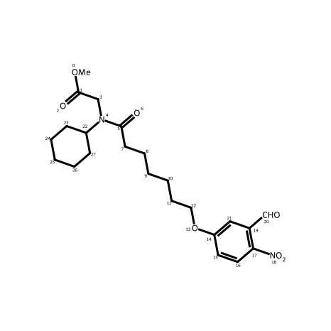 COC(=O)CN(C(=O)CCCCCCOc1ccc([N+](=O)[O-])c(C=O)c1)C1CCCCC1